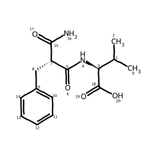 CC(C)[C@H](NC(=O)[C@H](Cc1ccccc1)C(N)=O)C(=O)O